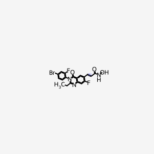 CCc1nc2cc(F)c(/C=C/C(=O)NO)cc2c(=O)n1-c1ccc(Br)cc1F